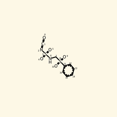 O=C=NS(=O)(=O)NCS(=O)(=O)c1ccccc1